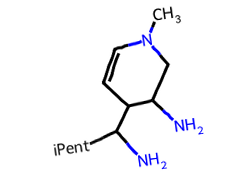 CCCC(C)C(N)C1C=CN(C)CC1N